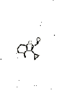 C=C1CCCc2oc(C=O)c(C3CC3)c21